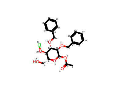 CC(=O)OC1O[C@H](CO)[C@@H](OCl)[C@H](OCc2ccccc2)[C@H]1OCc1ccccc1